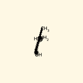 CCCCCCCCCCN(NC(=O)CCCCCCCCCCSc1ccc(O)cc1)C(N)=O